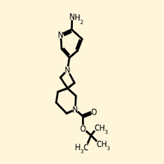 CC(C)(C)OC(=O)N1CCCC2(C1)CN(c1ccc(N)nc1)C2